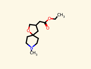 CCOC(=O)CC1COC2(CCN(C)CC2)C1